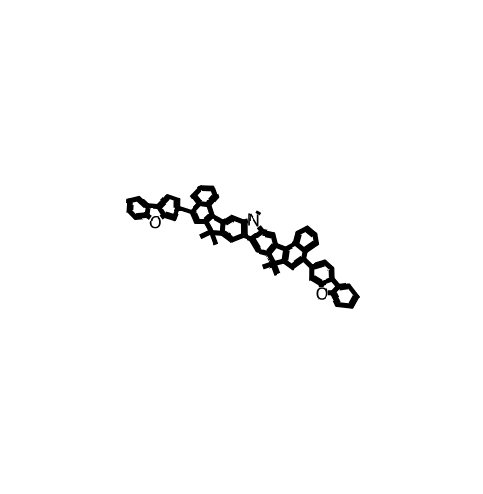 Cn1c2cc3c(cc2c2cc4c(cc21)-c1c(cc(-c2ccc5c(c2)oc2ccccc25)c2ccccc12)C4(C)C)C(C)(C)c1cc(-c2ccc4c(c2)oc2ccccc24)c2ccccc2c1-3